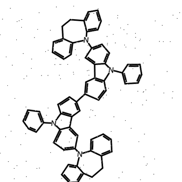 c1ccc(-n2c3ccc(-c4ccc5c(c4)c4cc(N6c7ccccc7CCc7ccccc76)ccc4n5-c4ccccc4)cc3c3cc(N4c5ccccc5CCc5ccccc54)ccc32)cc1